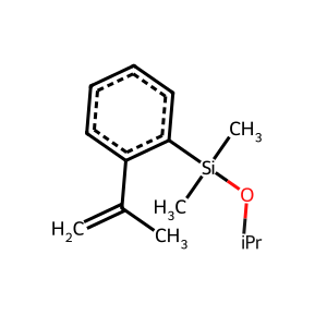 C=C(C)c1ccccc1[Si](C)(C)OC(C)C